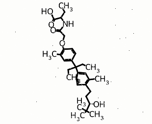 CCC(NC(=O)COc1ccc(C(CC)(CC)c2ccc(CC[C@H](O)C(C)(C)C)c(C)c2)cc1C)C(=O)O